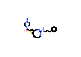 O=C(c1cc2c(s1)/C=C\C/C=N\C(NCCCc1ccccc1)=N/C2)N1CCNCC1